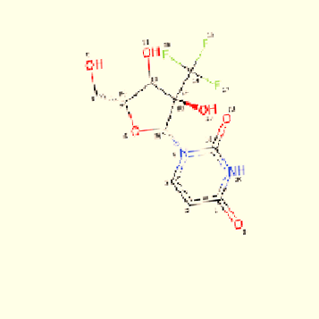 O=c1ccn([C@@H]2O[C@H](CO)C(O)[C@]2(O)C(F)(F)F)c(=O)[nH]1